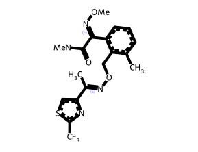 CNC(=O)/C(=N/OC)c1cccc(C)c1CO/N=C(\C)c1csc(C(F)(F)F)n1